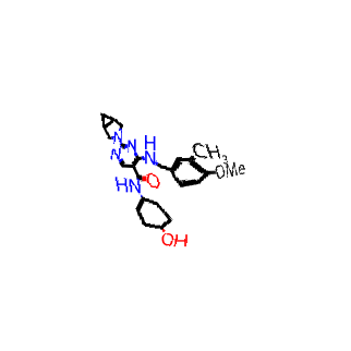 COc1ccc(CNc2nc(N3CC4CC4C3)ncc2C(=O)N[C@H]2CC[C@H](O)CC2)cc1C